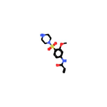 C=CC(=O)Nc1ccc(S(=O)(=O)N2CCNCC2)c(OC)c1